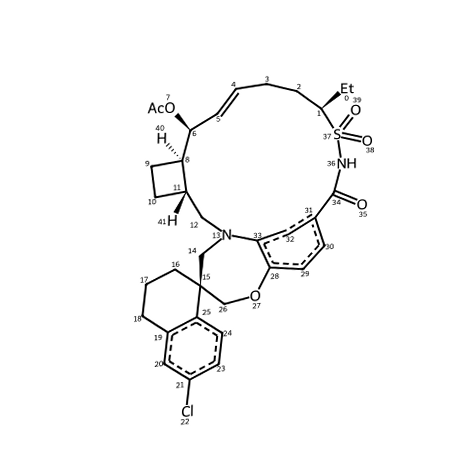 CC[C@@H]1CC/C=C/[C@H](OC(C)=O)[C@@H]2CC[C@H]2CN2C[C@@]3(CCCc4cc(Cl)ccc43)COc3ccc(cc32)C(=O)NS1(=O)=O